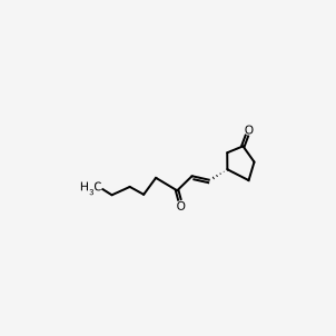 CCCCCC(=O)/C=C/[C@H]1CCC(=O)C1